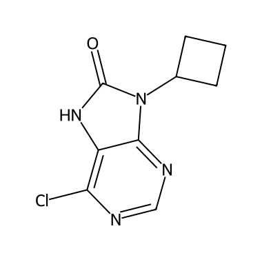 O=c1[nH]c2c(Cl)ncnc2n1C1CCC1